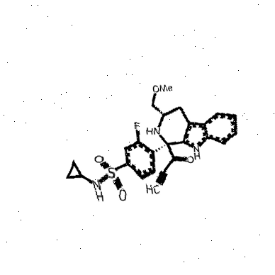 C#CC(=O)[C@@]1(c2ccc(S(=O)(=O)NC3CC3)cc2F)N[C@@H](COC)Cc2c1[nH]c1ccccc21